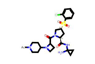 CC(=O)N1CCC(N2CCC2C(=O)N2C[C@H](S(=O)(=O)c3ccccc3Cl)C[C@H]2C(=O)NC2(N)CC2)CC1